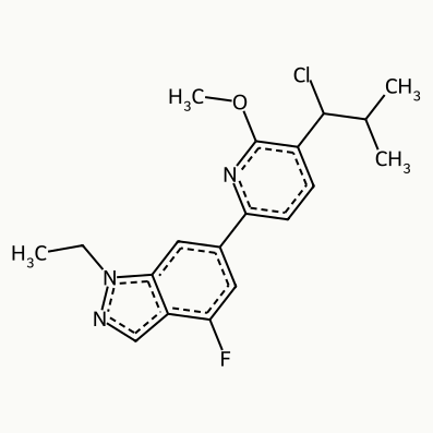 CCn1ncc2c(F)cc(-c3ccc(C(Cl)C(C)C)c(OC)n3)cc21